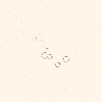 O=C(NCC12CC3CC4CC(C1)C4(C3)C2)c1cccc2nc(Cn3nnnc3-c3ccncc3)cn12